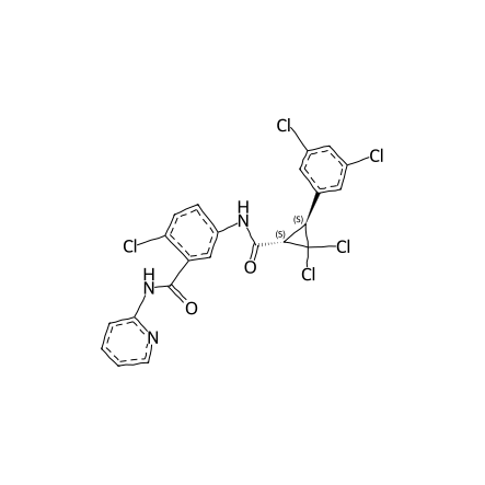 O=C(Nc1ccccn1)c1cc(NC(=O)[C@@H]2[C@@H](c3cc(Cl)cc(Cl)c3)C2(Cl)Cl)ccc1Cl